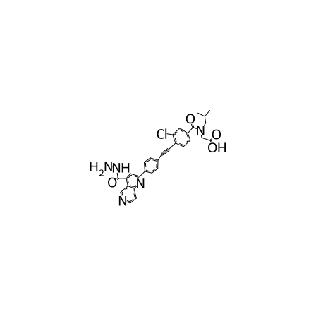 CC(C)CN(CC(=O)O)C(=O)c1ccc(C#Cc2ccc(-c3cc(C(=O)NN)c4cnccc4n3)cc2)c(Cl)c1